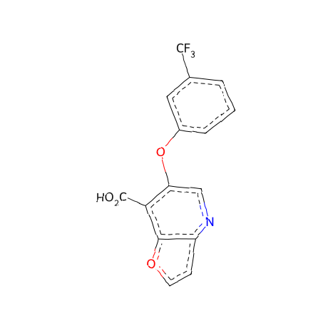 O=C(O)c1c(Oc2cccc(C(F)(F)F)c2)cnc2ccoc12